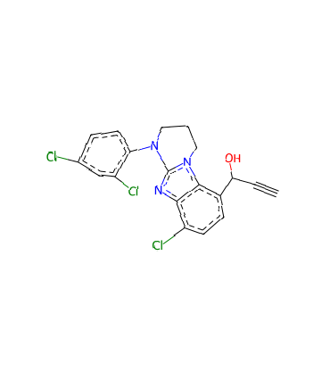 C#CC(O)c1ccc(Cl)c2nc3n(c12)CCCN3c1ccc(Cl)cc1Cl